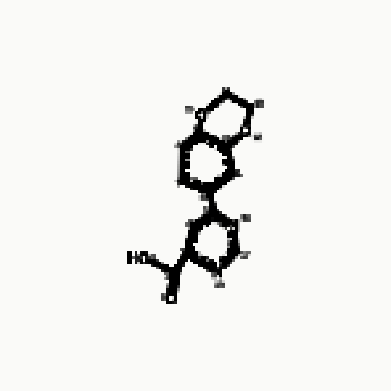 O=C(O)c1cc(-c2ccc3c(c2)OCCO3)ncn1